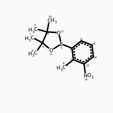 Cc1c(B2OC(C)(C)C(C)(C)O2)cccc1[N+](=O)[O-]